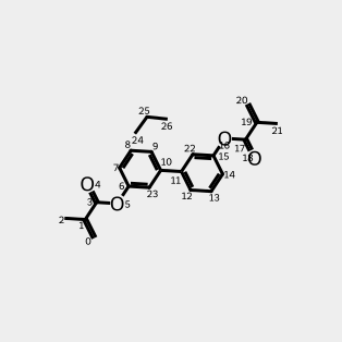 C=C(C)C(=O)Oc1cccc(-c2cccc(OC(=O)C(=C)C)c2)c1.CCC